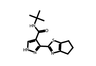 CC(C)(C)NC(=O)c1c[nH]nc1-c1nc2c(s1)CCC2